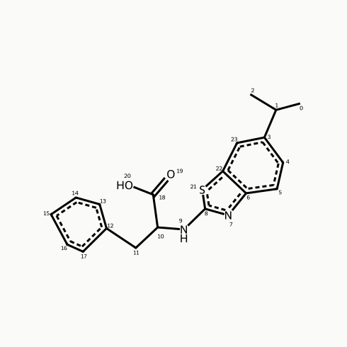 CC(C)c1ccc2nc(NC(Cc3ccccc3)C(=O)O)sc2c1